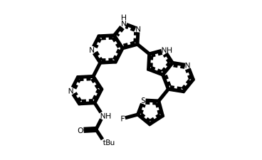 CC(C)(C)C(=O)Nc1cncc(-c2cc3c(-c4cc5c(-c6ccc(F)s6)ccnc5[nH]4)n[nH]c3cn2)c1